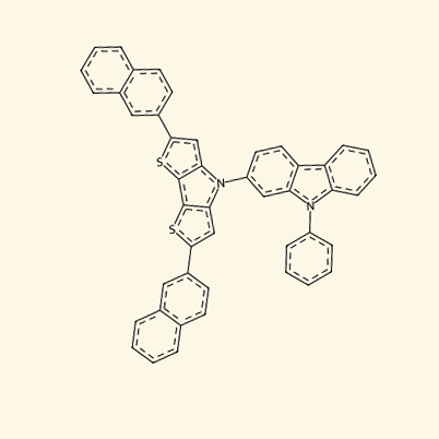 c1ccc(-n2c3ccccc3c3ccc(-n4c5cc(-c6ccc7ccccc7c6)sc5c5sc(-c6ccc7ccccc7c6)cc54)cc32)cc1